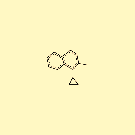 [CH2]c1ccc2ccccc2c1C1CC1